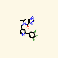 CC(C)N(Cc1ccnc(-c2cc(F)c(F)c(F)c2)c1)C(=O)c1cn(C)cn1